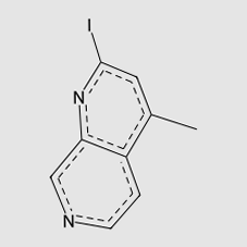 Cc1cc(I)nc2cnccc12